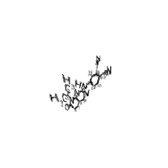 CC(C)n1c(=O)ccc2cnc(Nc3ccc(C#N)c(C#N)c3)nc21